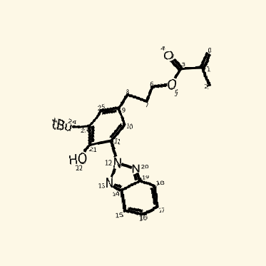 C=C(C)C(=O)OCCCc1cc(-n2nc3ccccc3n2)c(O)c(C(C)(C)C)c1